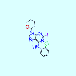 Clc1ccccc1Nc1nc(I)nc2c1ncn2C1CCCCO1